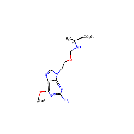 CCCCCOc1nc(N)nc2c1ncn2CCOCN[C@@H](C)C(=O)OCC